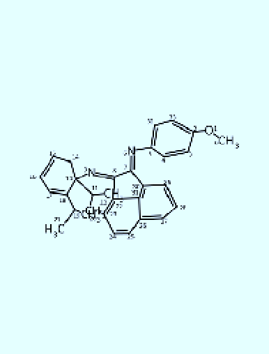 COc1ccc(/N=C2/C(=N/C3(C(C)C)CC=CC=C3C(C)C)c3cccc4cccc2c34)cc1